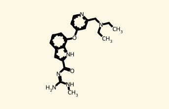 CCN(CC)Cc1cc(Oc2cccc3cc(C(=O)N=C(N)NC)[nH]c23)ccn1